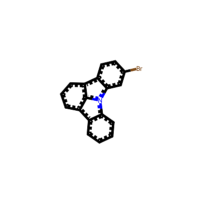 Brc1ccc2c3cccc4c5ccccc5n(c2c1)c43